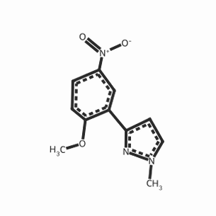 COc1ccc([N+](=O)[O-])cc1-c1ccn(C)n1